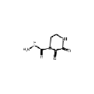 NNC(=O)N1CCNC(=O)C1=O